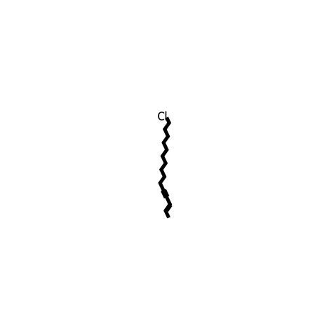 CC=CC#CCCCCCCCCCCCl